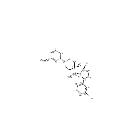 COc1ccnc(N2CCC3(CC2)O[C@@H]2CC[C@@H](c4cccc(F)c4)N2C3=O)c1